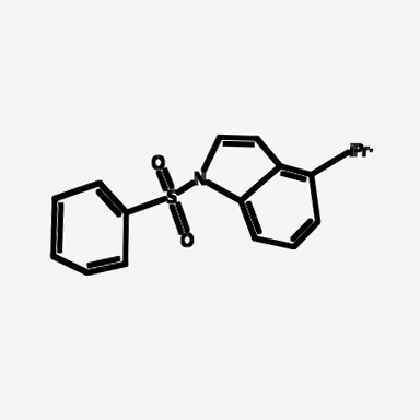 C[C](C)c1cccc2c1ccn2S(=O)(=O)c1ccccc1